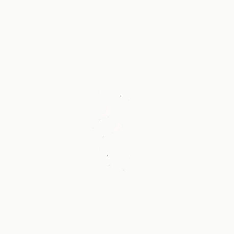 O=C1C(=Cc2ccc(-c3ccc(Cl)c(Cl)c3)o2)Cc2ccccc21